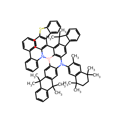 Cc1cc2c(cc1N1c3cc4c(cc3B3c5c1cc1c(c5-c5c(ccc6sc7ccccc7c56)N3c3ccccc3-c3ccccc3)C(C)(C)c3ccccc3-1)C(C)(C)c1ccccc1C4(C)C)C(C)(C)CCC2(C)C